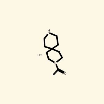 CC(=O)N1CCC2(CCNCC2)CC1.Cl